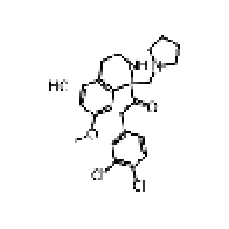 COc1ccc2c(c1)C(CN1CCCC1)(C(=O)Cc1ccc(Cl)c(Cl)c1)NCC2.Cl